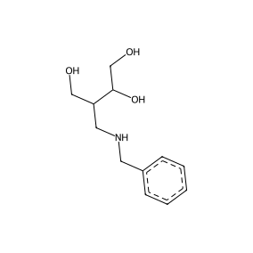 OCC(O)C(CO)CNCc1ccccc1